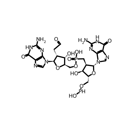 Nc1nc2c(ncn2[C@@H]2O[C@H](COPO)[C@@H](O)[C@H]2CP(=O)(O)OC[C@H]2O[C@@H](n3cnc4c(=O)[nH]c(N)nc43)[C@H](CC=O)[C@@H]2O)c(=O)[nH]1